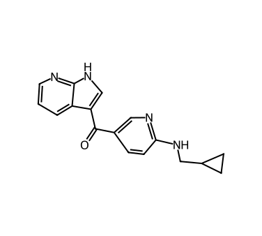 O=C(c1ccc(NCC2CC2)nc1)c1c[nH]c2ncccc12